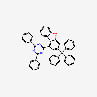 c1ccc(-c2nc(-c3ccccc3)nc(-c3cc(C(c4ccccc4)(c4ccccc4)c4ccccc4)cc4oc5ccccc5c34)n2)cc1